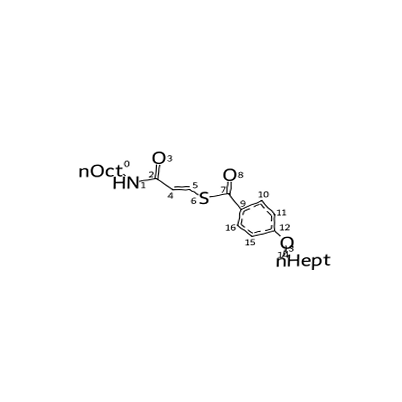 CCCCCCCCNC(=O)C=CSC(=O)c1ccc(OCCCCCCC)cc1